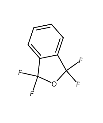 FC1(F)OC(F)(F)c2ccccc21